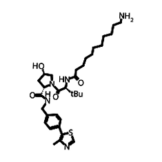 Cc1ncsc1-c1ccc(CNC(=O)[C@@H]2C[C@@H](O)CN2C(=O)[C@@H](NC(=O)CCCCCCCCCCN)C(C)(C)C)cc1